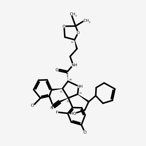 CC1(C)OC[C@H](CCNC(=O)[C@@H]2N[C@@H](C(CO)C3CC=CCC3)[C@](C#N)(c3ccc(Cl)cc3F)[C@H]2c2cccc(Cl)c2F)O1